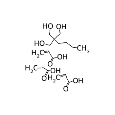 C=CC(=O)O.C=CC(=O)O.C=CC(=O)O.CCCCC(CO)(CO)CO